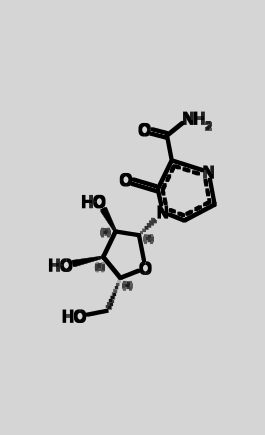 NC(=O)c1nccn([C@@H]2O[C@H](CO)[C@@H](O)[C@H]2O)c1=O